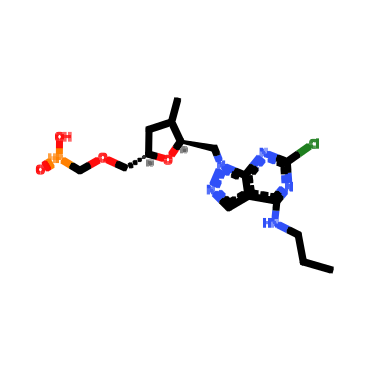 CCCNc1nc(Cl)nc2c1cnn2C[C@H]1O[C@H](COC[PH](=O)O)CC1C